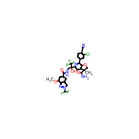 COc1cc(C(=O)NCC(O)(c2cc3c(c(-c4ccc(C#N)c(Cl)c4)n2)OC[C@]3(C)C(N)=O)C(F)(F)F)cc2cn(C(F)F)nc12